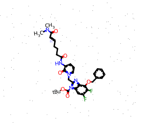 CN(C)C(=O)/C=C/CCCC(=O)Nc1cccn(Cc2nc3c(OCc4ccccc4)c(F)c(F)cc3n2C(=O)OC(C)(C)C)c1=O